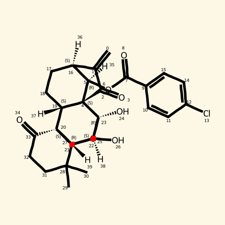 C=C1C(=O)[C@]23[C@H](OC(=O)c4ccc(Cl)cc4)[C@H]1CC[C@H]2[C@@]12CO[C@@]3(O)[C@@H](O)[C@@H]1C(C)(C)CCC2=O